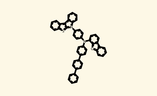 c1ccc(-c2ccc(-c3ccc(N(c4ccc(-n5c6ccccc6c6c7ccccc7sc65)cc4)c4cccc5c4oc4ccccc45)cc3)cc2)cc1